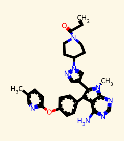 C=CC(=O)N1CCC(n2cc(-c3c(-c4ccc(Oc5ccc(C)cn5)cc4)c4c(N)ncnc4n3C)cn2)CC1